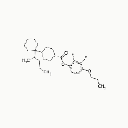 CCCOc1ccc(OC(=O)[C@H]2CC[C@H](C3(C(C)CCC)CCCCC3)CC2)c(F)c1F